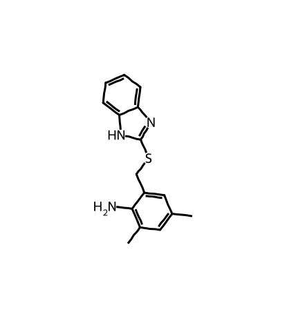 Cc1cc(C)c(N)c(CSc2nc3ccccc3[nH]2)c1